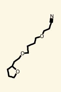 N#CCCOCCCCOCCC1CCCO1